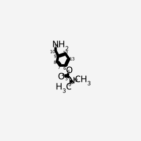 CN(C)C(=O)Oc1ccc(CN)cc1